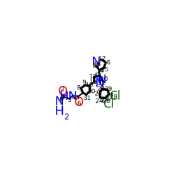 NC(=O)CNC(=O)c1ccc(-c2cc(-c3cccnc3)nn2-c2ccc(Cl)c(Cl)c2)cc1